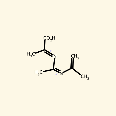 C=C(C)/N=C(C)\N=C(/C)C(=O)O